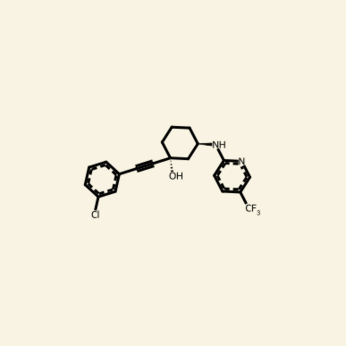 O[C@]1(C#Cc2cccc(Cl)c2)CCC[C@@H](Nc2ccc(C(F)(F)F)cn2)C1